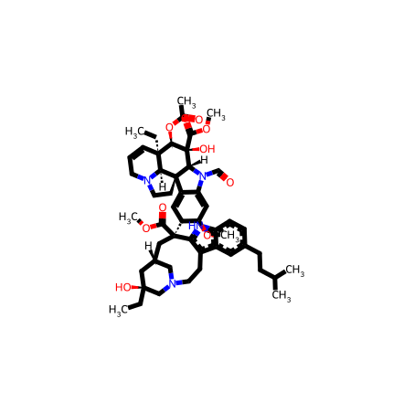 CC[C@]1(O)C[C@H]2CN(CCc3c([nH]c4ccc(CCC(C)C)cc34)[C@@](C(=O)OC)(C3C=C4C(=CC3OC)N(C=O)[C@H]3[C@@](O)(C(=O)OC)[C@H](OC(C)=O)[C@]5(CC)C=CCN6CC[C@]43[C@@H]65)C2)C1